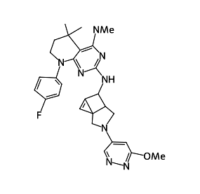 CNc1nc(NC2C3=CC34CN(c3cnnc(OC)c3)CC24)nc2c1C(C)(C)CCN2c1ccc(F)cc1